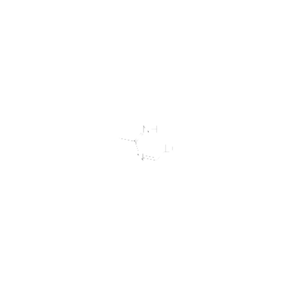 CC/C=N\C(C)=N